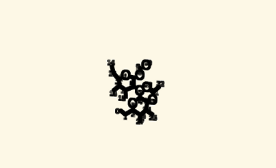 CCC1OC(OC2C(OC=O)OC(CC)C(C)C2C)C(OC(C)=O)C(C)C1C